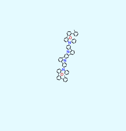 Cc1ccccc1-c1cccc2c1oc1c(N(c3ccccc3)c3ccc4c(c3)c3cccc5c6cc7c(cc6n4c35)c3cccc4c5cc(N(c6ccccc6)c6cccc8c6oc6c(-c9ccccc9C)cccc68)ccc5n7c43)cccc12